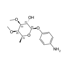 CO[C@H]1[C@H](O)[C@@H](Oc2ccc(N)cc2)O[C@@H](C)[C@H]1OC